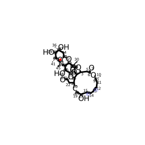 COC1C(O)CC(=O)O[C@H](C)C/C=C\C=C\C(O)[C@H](C)CC(CC=O)C1O[C@@H]1O[C@H](C)[C@@H](O[C@@H]2C[C@](C)(O)[C@H](O)[C@@H](C)O2)[C@H](N(C)C)[C@H]1O